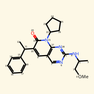 COCC(C)Nc1ncc2cc(C(C)c3ccccc3)c(=O)n(C3CCCC3)c2n1